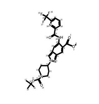 COC(=O)c1cc2nn(C3CCN(C(=O)OC(C)(C)C)CC3)cc2cc1NC(=O)c1cccc(C(F)(F)F)n1